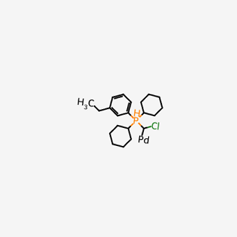 CCc1cccc([PH]([CH](Cl)[Pd])(C2CCCCC2)C2CCCCC2)c1